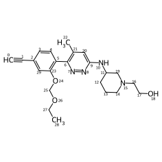 C#Cc1ccc(-c2nnc(NC3CCCN(CCO)C3)cc2C)c(OCOCC)c1